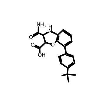 CC(C)(C)c1ccc(-c2cccc3c2OC(C(=O)O)C(C(N)=O)N3)cc1